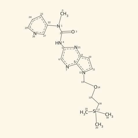 CN(C(=O)Nc1cnc2c(ccn2COCC[Si](C)(C)C)n1)c1cccnc1